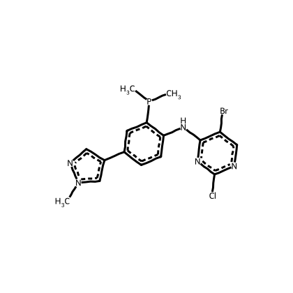 Cn1cc(-c2ccc(Nc3nc(Cl)ncc3Br)c(P(C)C)c2)cn1